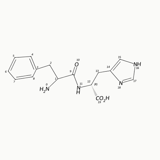 NC(Cc1ccccc1)C(=O)N[C@H](Cc1c[nH]cn1)C(=O)O